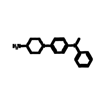 CN(c1ccccc1)c1ccc(N2CCC(N)CC2)cc1